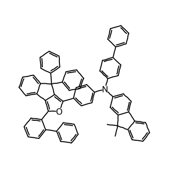 CC1(C)c2ccccc2-c2ccc(N(c3ccc(-c4ccccc4)cc3)c3ccc(-c4oc(-c5ccccc5-c5ccccc5)c5c4C(c4ccccc4)(c4ccccc4)c4ccccc4-5)cc3)cc21